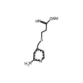 COC(=N)CCSCc1ccnc(N)c1